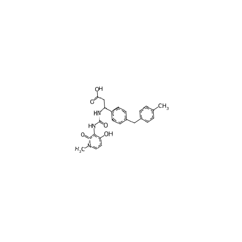 Cc1ccc(Cc2ccc(C(CC(=O)O)NC(=O)Nc3c(O)ccn(C)c3=O)cc2)cc1